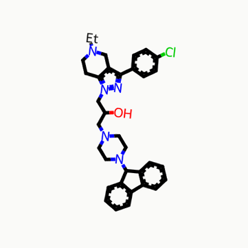 CCN1CCc2c(c(-c3ccc(Cl)cc3)nn2CC(O)CN2CCN(C3c4ccccc4-c4ccccc43)CC2)C1